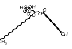 C#CC#CC#CC#CC#CC(=O)OC[C@@H](COP(=O)(O)O)OC(=O)CCCCCCCCCCCCCCC